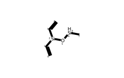 C=C[Si](C=C)O[SiH2]C